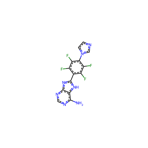 Nc1ncnc2nc(-c3c(F)c(F)c(-n4ccnc4)c(F)c3F)[nH]c12